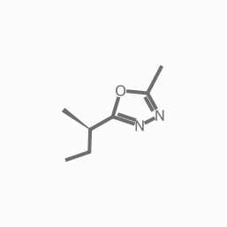 CC[C@@H](C)c1nnc(C)o1